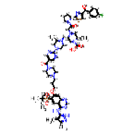 Cc1n[nH]c(Nc2ncnc3cc(OCCCN4CCN(C(=O)c5cnc(N6CCN(C[C@H]7CN(C(=O)O)[C@H](C)CN7CC(=O)N7CCC[C@H]7c7nc(C(=O)c8ccc(F)cc8)cs7)[C@H](C)C6)nc5)CC4)c(S(=O)(=O)C(C)(C)C)cc23)c1C